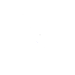 CC(C)(C)OC(=O)N[C@@H](CS)C(=O)OC(C)(C)C